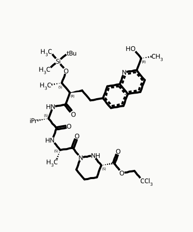 CC(C)[C@H](NC(=O)[C@H](CCc1ccc2ccc([C@@H](C)O)nc2c1)[C@H](C)O[Si](C)(C)C(C)(C)C)C(=O)N[C@@H](C)C(=O)N1CCC[C@@H](C(=O)OCC(Cl)(Cl)Cl)N1